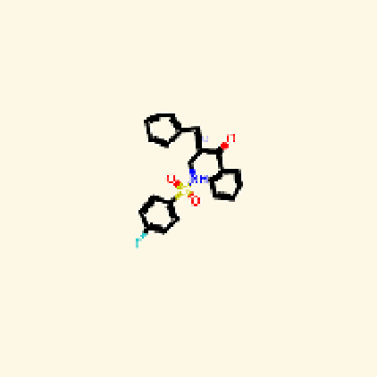 O=C(/C(=C/c1ccccc1)CNS(=O)(=O)c1ccc(F)cc1)c1ccccc1